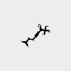 CC(C)CCC#CC(=O)C(C)(C)C